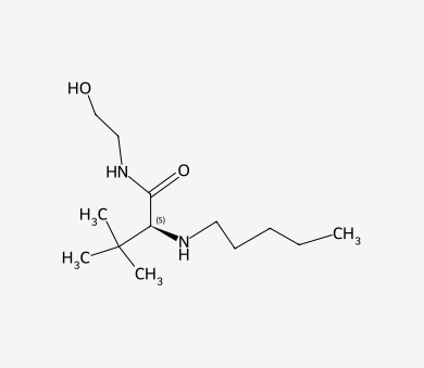 CCCCCN[C@H](C(=O)NCCO)C(C)(C)C